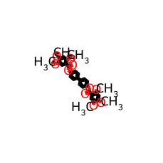 COc1cc(OC)c(C(=O)Oc2ccc(-c3ccc(OC(=O)c4cc(OC)c(OC)cc4OC)cc3)cc2)cc1OC